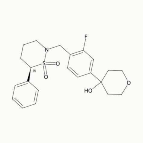 O=S1(=O)[C@@H](c2ccccc2)CCCN1Cc1ccc(C2(O)CCOCC2)cc1F